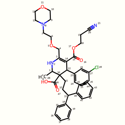 CC1NC(COCCN2CCOCC2)=C(C(=O)OCCC#N)C(c2cccc(Cl)c2)C1(CCC(c1ccccc1)c1ccccc1)C(=O)O